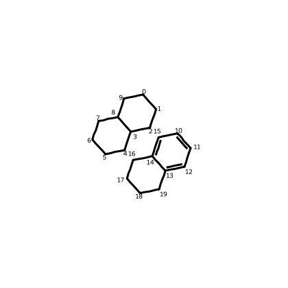 C1CCC2CCCCC2C1.c1ccc2c(c1)CCCC2